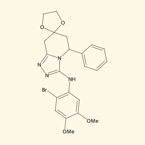 COc1cc(Br)c(Nc2nnc3n2C(c2ccccc2)CC2(C3)OCCO2)cc1OC